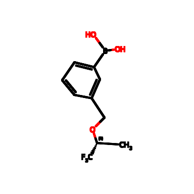 C[C@@H](OCc1cccc(B(O)O)c1)C(F)(F)F